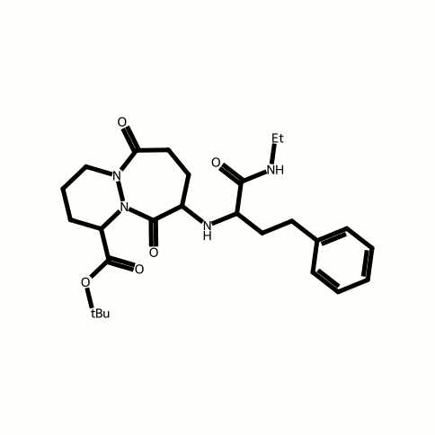 CCNC(=O)C(CCc1ccccc1)NC1CCC(=O)N2CCCC(C(=O)OC(C)(C)C)N2C1=O